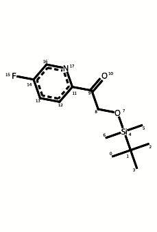 CC(C)(C)[Si](C)(C)OCC(=O)c1ccc(F)cn1